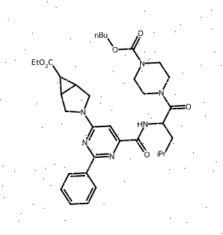 CCCCOC(=O)N1CCN(C(=O)C(CC(C)C)NC(=O)c2cc(N3CC4C(C3)C4C(=O)OCC)nc(-c3ccccc3)n2)CC1